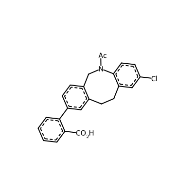 CC(=O)N1Cc2ccc(-c3ccccc3C(=O)O)cc2CCc2cc(Cl)ccc21